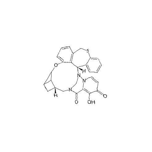 O=C1c2c(O)c(=O)ccn2N2CN1C[C@@H]1CC3C(Oc4cccc5c4[C@@H]2c2ccccc2SC5)C31